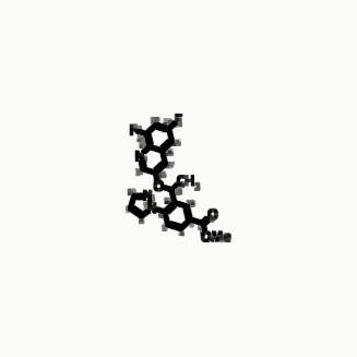 COC(=O)c1ccc(-n2cccn2)c([C@H](C)Oc2cnc3c(F)cc(F)cc3c2)c1